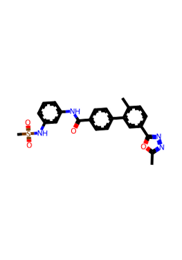 Cc1nnc(-c2ccc(C)c(-c3ccc(C(=O)Nc4cccc(NS(C)(=O)=O)c4)cc3)c2)o1